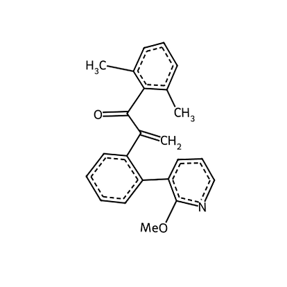 C=C(C(=O)c1c(C)cccc1C)c1ccccc1-c1cccnc1OC